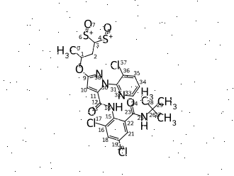 CC(CC([S+]=O)[S+]=O)Oc1cc(C(=O)Nc2c(Cl)cc(Cl)cc2C(=O)NC(C)(C)C)n(-c2ncccc2Cl)n1